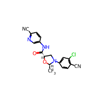 N#Cc1ccc(NC(=O)[C@@H]2CN(c3ccc(C#N)c(Cl)c3)[C@@H](C(F)(F)F)O2)cn1